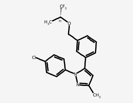 Cc1cc(-c2cccc(CO[C@H](C)C(F)(F)F)c2)n(-c2ccc(Cl)cc2)n1